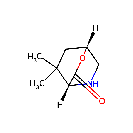 CC1(C)C[C@@H]2CN[C@H]1C(=O)O2